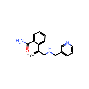 C=C(CNCc1cccnc1)c1ccccc1C(N)=O